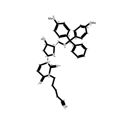 C#CCCCCn1c(=O)ccn([C@@H]2CC(O)[C@H](COC(c3ccccc3)(c3ccc(OC)cc3)c3ccc(OC)cc3)O2)c1=O